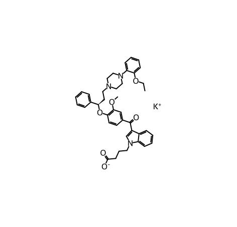 CCOc1ccccc1N1CCN(CC[C@@H](Oc2ccc(C(=O)c3cn(CCCC(=O)[O-])c4ccccc34)cc2OC)c2ccccc2)CC1.[K+]